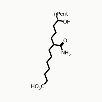 CCCCC[C@@H](O)CCCC(CCCCCCC(=O)O)C(N)=O